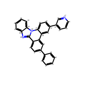 c1ccc(-c2ccc3c(c2)c2cc(-c4cccnc4)ccc2n2c4ccccc4nc32)cc1